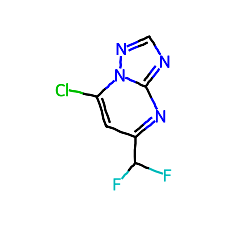 FC(F)c1cc(Cl)n2ncnc2n1